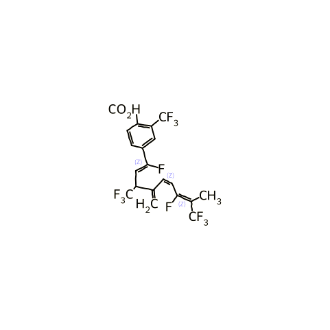 C=C(/C=C\C(F)=C(/C)C(F)(F)F)C(/C=C(\F)c1ccc(C(=O)O)c(C(F)(F)F)c1)C(F)(F)F